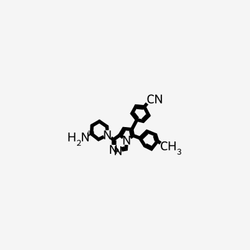 Cc1ccc(-c2c(-c3ccc(C#N)cc3)cc3c(N4CCC[C@@H](N)C4)nncn23)cc1